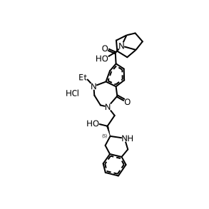 CCN1CCN(CC(O)[C@@H]2Cc3ccccc3CN2)C(=O)c2ccc(C(=O)N3C4CCC3CC(O)C4)cc21.Cl